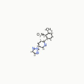 Cc1[c]ccc(-c2ccc(-n3nccn3)cn2)c1[N+](=O)[O-]